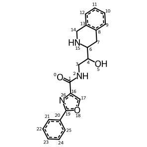 O=C(NCC(O)C1Cc2ccccc2CN1)c1coc(-c2ccccc2)n1